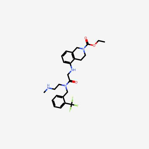 CCOC(=O)N1CCc2c(cccc2NCC(=O)N(CCNC)Cc2ccccc2C(F)(F)F)C1